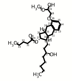 CCCCC[C@H](O)CC[C@@H]1[C@H]2Cc3cccc(OCC(O)OC)c3C[C@H]2C[C@H]1OC(=O)CCCC